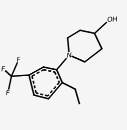 CCc1ccc(C(F)(F)F)cc1N1CCC(O)CC1